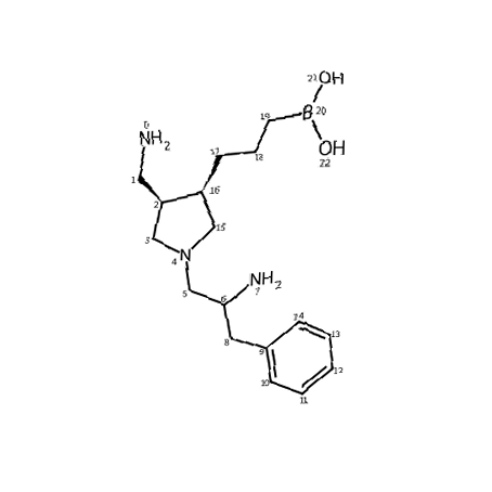 NC[C@@H]1CN(CC(N)Cc2ccccc2)C[C@@H]1CCCB(O)O